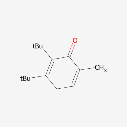 CC1=CCC(C(C)(C)C)=C(C(C)(C)C)C1=O